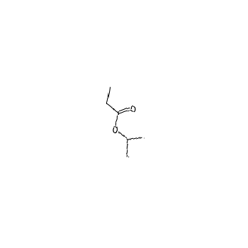 [CH2]C([CH2])OC(=O)CC